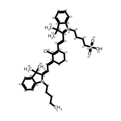 CCCCCN1/C(=C/C=C2\CCCC(/C=C/C3=[N+](CCCCS(=O)(=O)O)c4ccccc4C3(C)C)=C2Cl)C(C)(C)c2ccccc21